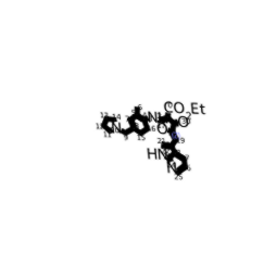 CCOC(=O)C1=C(NC2=C(C)C=C(CN3CCCC3)CC2)O/C(=C\c2c[nH]c3ncccc23)C1=O